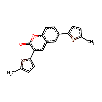 Cc1ccc(-c2ccc3oc(=O)c(-c4ccc(C)s4)cc3c2)s1